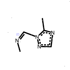 C/N=C\n1ncnc1C